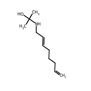 C=CCCC/C=C/CNC(C)(C)O